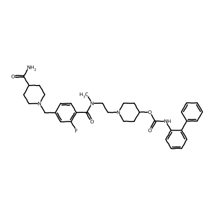 CN(CCN1CCC(OC(=O)Nc2ccccc2-c2ccccc2)CC1)C(=O)c1ccc(CN2CCC(C(N)=O)CC2)cc1F